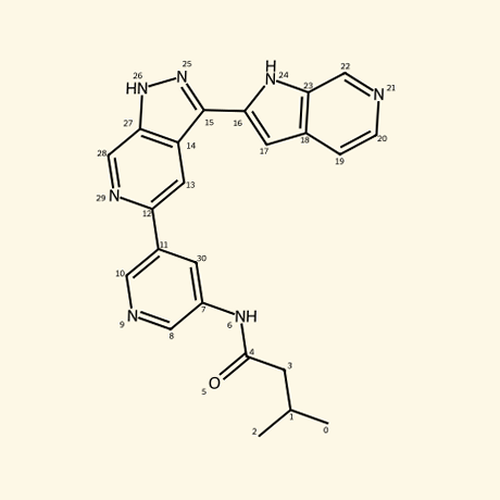 CC(C)CC(=O)Nc1cncc(-c2cc3c(-c4cc5ccncc5[nH]4)n[nH]c3cn2)c1